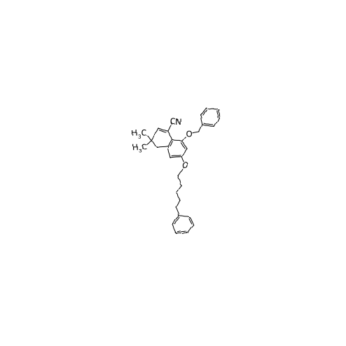 CC1(C)C=C(C#N)c2c(cc(OCCCCCc3ccccc3)cc2OCc2ccccc2)C1